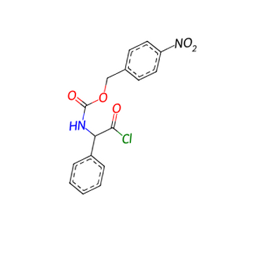 O=C(NC(C(=O)Cl)c1ccccc1)OCc1ccc([N+](=O)[O-])cc1